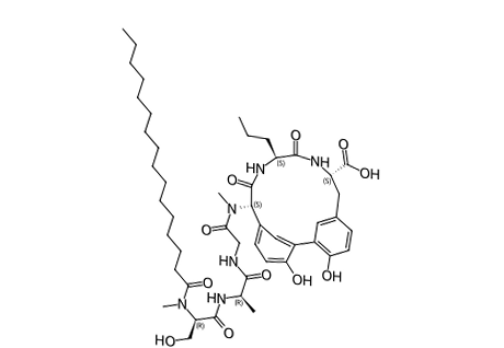 CCCCCCCCCCCCCCCC(=O)N(C)[C@H](CO)C(=O)N[C@H](C)C(=O)NCC(=O)N(C)[C@@H]1C(=O)N[C@@H](CCC)C(=O)N[C@H](C(=O)O)Cc2ccc(O)c(c2)-c2cc1ccc2O